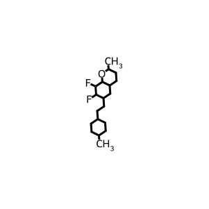 CC1CCC(CCC2CC3CCC(C)OC3C(F)C2F)CC1